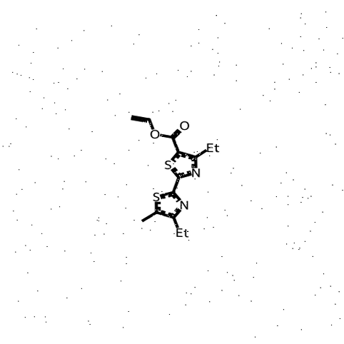 C=COC(=O)c1sc(-c2nc(CC)c(C)s2)nc1CC